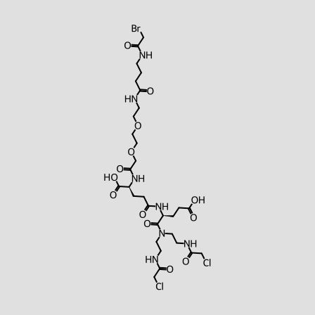 O=C(O)CC[C@H](NC(=O)CC[C@H](NC(=O)COCCOCCNC(=O)CCCNC(=O)CBr)C(=O)O)C(=O)N(CCNC(=O)CCl)CCNC(=O)CCl